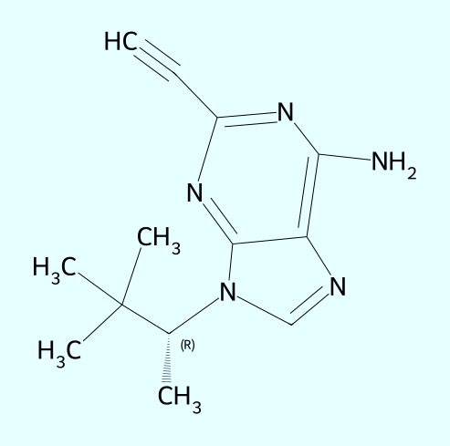 C#Cc1nc(N)c2ncn([C@H](C)C(C)(C)C)c2n1